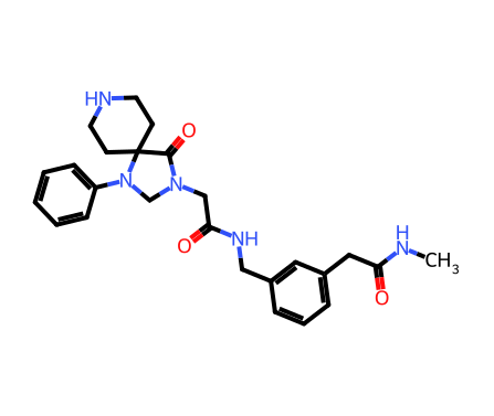 CNC(=O)Cc1cccc(CNC(=O)CN2CN(c3ccccc3)C3(CCNCC3)C2=O)c1